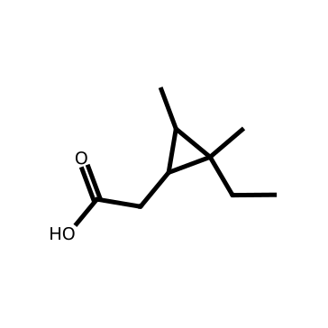 CCC1(C)C(C)C1CC(=O)O